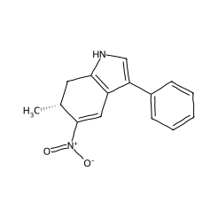 C[C@@H]1Cc2[nH]cc(-c3ccccc3)c2C=C1[N+](=O)[O-]